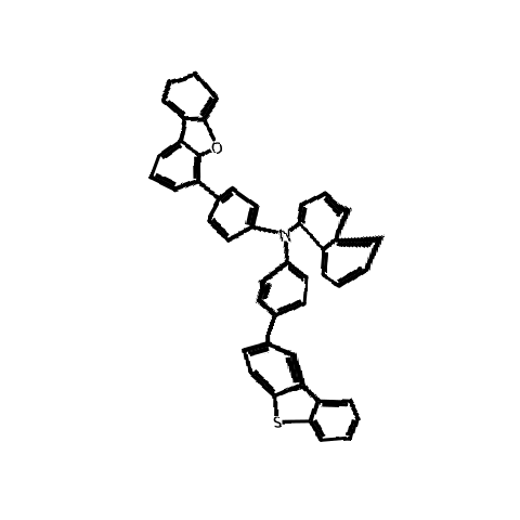 C1=c2oc3c(-c4ccc(N(c5ccc(-c6ccc7sc8ccccc8c7c6)cc5)c5cccc6ccccc56)cc4)cccc3c2=CCC1